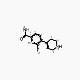 NC(=O)c1ccc(C2=CCNCC2)c(F)n1